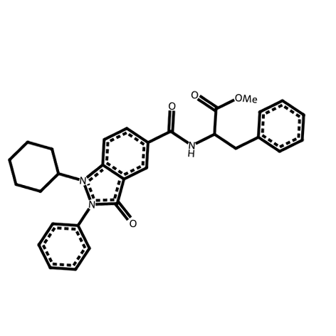 COC(=O)C(Cc1ccccc1)NC(=O)c1ccc2c(c1)c(=O)n(-c1ccccc1)n2C1CCCCC1